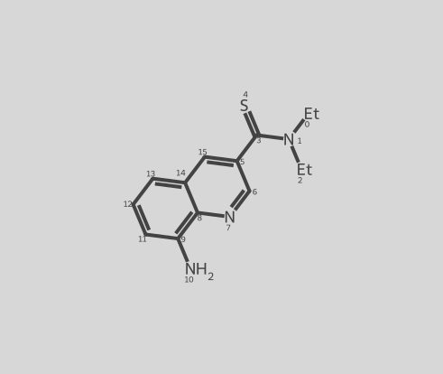 CCN(CC)C(=S)c1cnc2c(N)cccc2c1